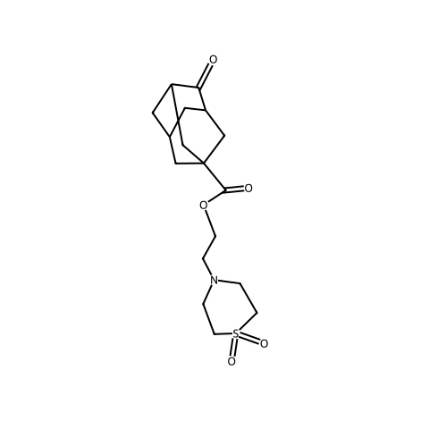 O=C1C2CC3CC1CC(C(=O)OCCN1CCS(=O)(=O)CC1)(C3)C2